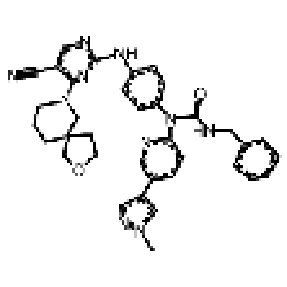 Cn1cc(-c2ccc(N(C(=O)NCc3ccccc3)c3ccc(Nc4ncc(C#N)c(N5CCCC6(CCOC6)C5)n4)cc3)nc2)cn1